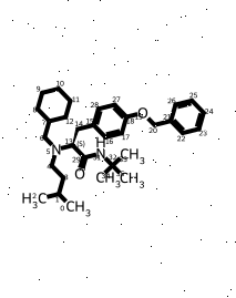 CC(C)CCN(CC1CCCCC1)[C@@H](Cc1ccc(OCc2ccccc2)cc1)C(=O)NC(C)(C)C